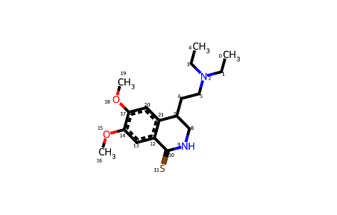 CCN(CC)CCC1CNC(=S)c2cc(OC)c(OC)cc21